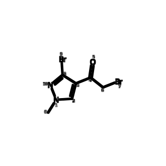 Cn1cc(C(=O)CBr)c(Br)n1